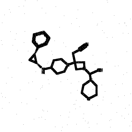 N#CCC1(N2CCC(N[C@@H]3C[C@@H]3c3ccccc3)CC2)CN(C(O)N2CCOCC2)C1